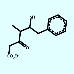 CCOC(=O)CC(=O)C(C)C(S)Cc1ccccc1